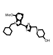 COc1cccc2c(-c3nc(CN4CCC(O)CC4)cs3)cn(CC3CCCCC3)c12